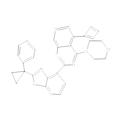 C1=CC(c2cncc3nc(-c4ccnc5[nH]c(C6(c7ccccc7)CC6)cc45)nc(N4CCNCC4)c23)=C1